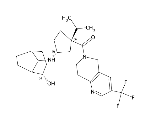 CC(C)[C@]1(C(=O)N2CCc3ncc(C(F)(F)F)cc3C2)CC[C@@H](NC2C3CCC2[C@@H](O)CC3)C1